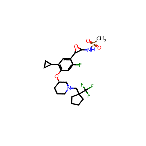 CS(=O)(=O)NC1OC1c1cc(C2CC2)c(O[C@@H]2CCCN(CC3(C(F)(F)F)CCCC3)C2)cc1F